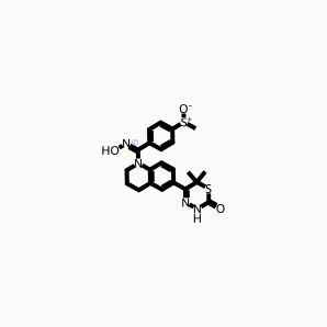 C[S+]([O-])c1ccc(/C(=N/O)N2CCCc3cc(C4=NNC(=O)SC4(C)C)ccc32)cc1